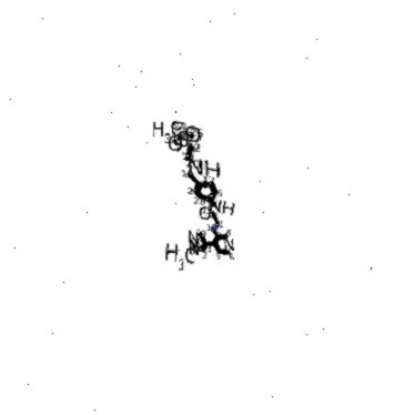 Cn1cc(-c2ccncc2/C=C/C(=O)Nc2ccc(CNCCS(C)(=O)=O)cc2)cn1